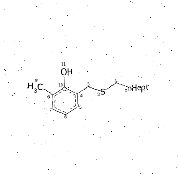 CCCCCCCCSCc1cccc(C)c1O